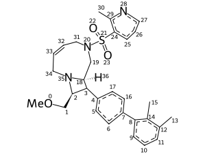 COC[C@@H]1C(c2ccc(-c3cccc(C)c3C)cc2)[C@@H]2CN(S(=O)(=O)c3cccnc3C)C/C=C\CN12